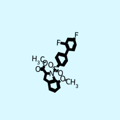 COC(=O)C1Cc2cccc(OC)c2N1S(=O)(=O)c1ccc(-c2ccc(F)cc2F)cc1